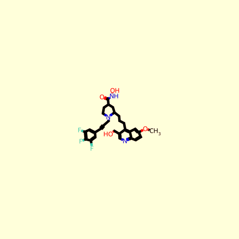 COc1ccc2ncc(CO)c(CCCC3CC(C(=O)NO)CCN3CC#Cc3cc(F)c(F)c(F)c3)c2c1